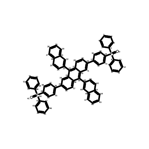 O=P(c1ccccc1)(c1ccccc1)c1ccc(-c2ccc3c(-c4ccc5ccccc5c4)c4cc(-c5ccc(P(=O)(c6ccccc6)c6ccccc6)cc5)ccc4c(-c4ccc5ccccc5c4)c3c2)cc1